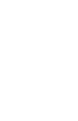 O=C(c1nnn(Cc2cc(C(F)(F)F)cc(C(F)(F)F)c2)c1-c1ccccc1)c1c(/C=N\O)noc1-c1ccccc1Cl